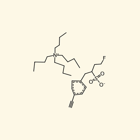 C#Cc1ccc(CC(CCF)S(=O)(=O)[O-])cc1.CCCC[N+](CCCC)(CCCC)CCCC